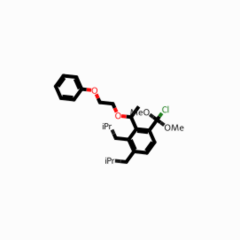 COC(Cl)(OC)c1ccc(CC(C)C)c(CC(C)C)c1C(C)OCCOc1ccccc1